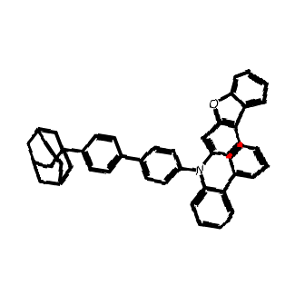 c1c(N(c2ccc(-c3ccc(C45CC6CC(CC(C6)C4)C5)cc3)cc2)c2ccccc2C2=CC=CCC2)cc2oc3ccccc3c2c#1